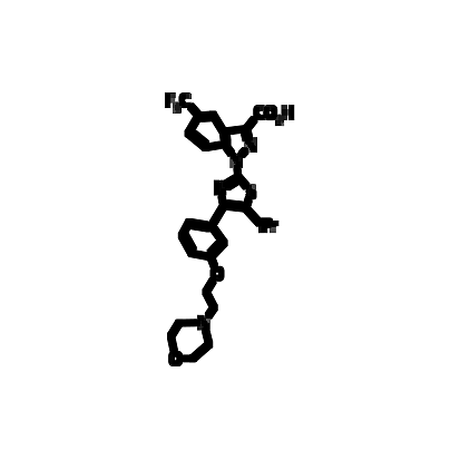 CC(C)c1sc(-n2nc(C(=O)O)c3cc(C(F)(F)F)ccc32)nc1-c1cccc(OCCN2CCOCC2)c1